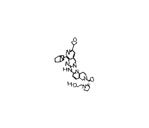 O=C([C@@H]1CCCN1CCO)N1CCc2nc(Nc3ncc4cc(C5COC5)nc(N5C6CCC5CC6)c4n3)ccc2C1